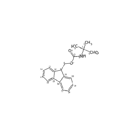 CC(C)(C=O)NC(=O)OCC1c2ccccc2-c2ccccc21